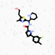 Cc1ccc(-c2ccc(C(=O)NC(c3nc(C)c(CCO)s3)C3CCCCN3)[nH]2)cc1F